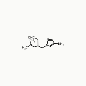 CN(C)CC(CC=O)Cn1cc(N)cn1